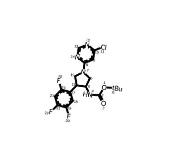 CC(C)(C)OC(=O)NC1CN(c2cc(Cl)ncn2)CC1c1cc(F)c(F)cc1F